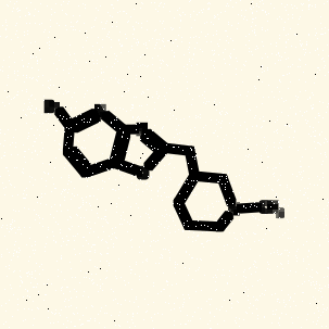 CN1CCCC(Cc2nc3nc(Br)ccc3o2)C1